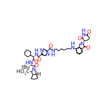 CC(C)(C)[C@H](NC(=O)[C@@H](NC(=O)c1cnc(C(=O)NCCCCCCNc2cccc3c2CN(C2CCC(=O)NC2=O)C3=O)cn1)C1CCCCC1)C(=O)N1C[C@@H]2CCCC2[C@H]1C(=O)O